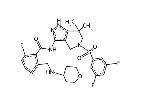 CC1(C)CN(S(=O)(=O)c2cc(F)cc(F)c2)Cc2c(NC(=O)c3c(F)cccc3CNC3CCOCC3)n[nH]c21